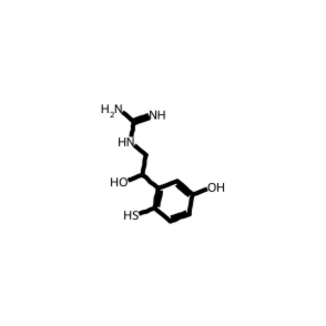 N=C(N)NCC(O)c1cc(O)ccc1S